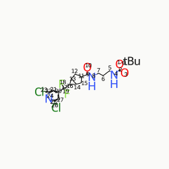 CC(C)(C)OC(=O)NCCCNC(=O)C1CC2C(C1)C2C(F)(F)c1cc(Cl)nc(Cl)c1